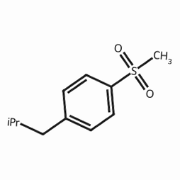 CC(C)Cc1ccc(S(C)(=O)=O)cc1